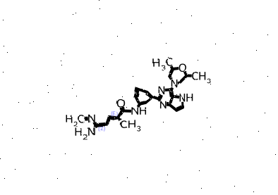 C=N/C(N)=C\C=C(/C)C(=O)Nc1cccc(-c2nc(N3CC(C)OC(C)C3)c3[nH]ccc3n2)c1